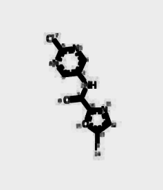 O=C(Nc1cnc(Cl)nc1)c1ncc(F)o1